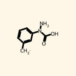 [CH2]c1cccc(N(N)C(=O)O)c1